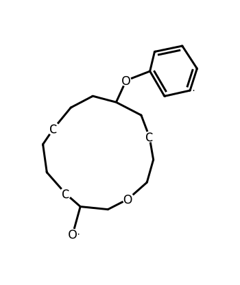 [O]C1CCCCCCC(Oc2c[c]ccc2)CCCCOC1